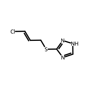 Cl/C=C/CSc1nc[nH]n1